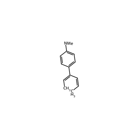 C/C=C\C(=C/C)c1ccc(NC)cc1